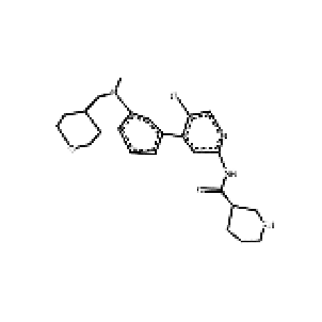 CN(CC1CCOCC1)c1cccc(-c2cc(NC(=O)[C@@H]3CCCNC3)ncc2Cl)c1